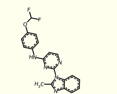 Cc1nc2ccccc2n1-c1nccc(Nc2ccc(OC(F)F)cc2)n1